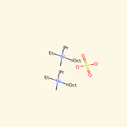 CCCCCCCC[N+](C)(CC)C(C)C.CCCCCCCC[N+](C)(CC)C(C)C.O=S(=O)([O-])[O-]